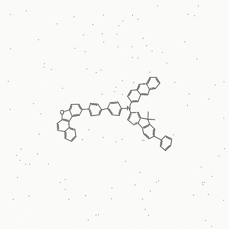 CC1(C)c2cc(-c3ccccc3)ccc2-c2ccc(N(c3ccc(-c4ccc(-c5ccc6oc7ccc8ccccc8c7c6c5)cc4)cc3)c3ccc4cc5ccccc5cc4c3)cc21